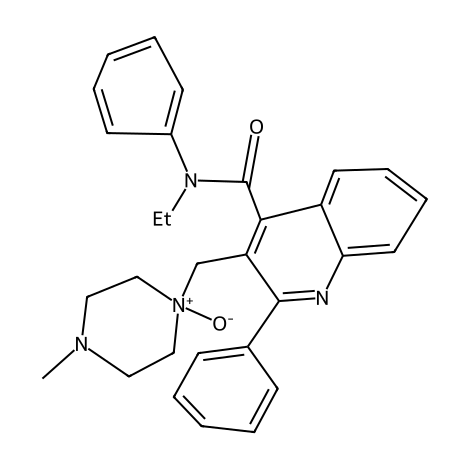 CCN(C(=O)c1c(C[N+]2([O-])CCN(C)CC2)c(-c2ccccc2)nc2ccccc12)c1ccccc1